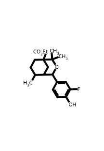 CCOC(=O)C12CCC(C)C(C1)C(c1ccc(O)c(F)c1)OC2(C)C